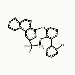 C=Nc1c(Nc2cc(C(F)(F)F)cc3c2ncc2ccccc23)cccc1-c1ccccc1C